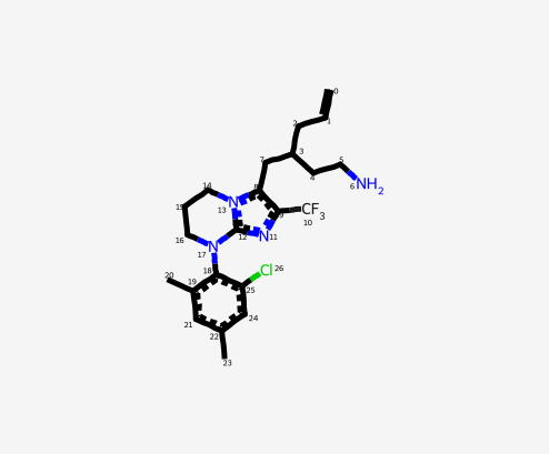 C=CCC(CCN)Cc1c(C(F)(F)F)nc2n1CCCN2c1c(C)cc(C)cc1Cl